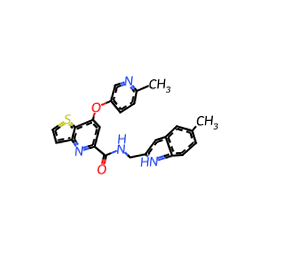 Cc1ccc2[nH]c(CNC(=O)c3cc(Oc4ccc(C)nc4)c4sccc4n3)cc2c1